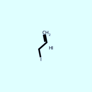 C=CCI.I